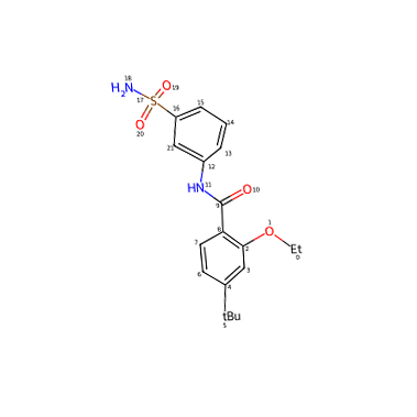 CCOc1cc(C(C)(C)C)ccc1C(=O)Nc1cccc(S(N)(=O)=O)c1